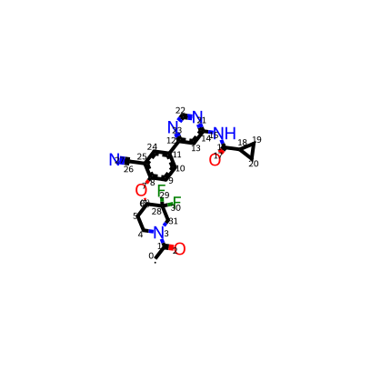 [CH2]C(=O)N1CC[C@H](Oc2ccc(-c3cc(NC(=O)C4CC4)ncn3)cc2C#N)C(F)(F)C1